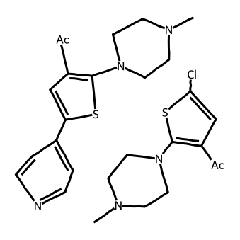 CC(=O)c1cc(-c2ccncc2)sc1N1CCN(C)CC1.CC(=O)c1cc(Cl)sc1N1CCN(C)CC1